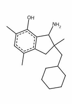 Cc1cc(C)c2c(c1O)C(N)C(C)(CC1CCCCC1)C2